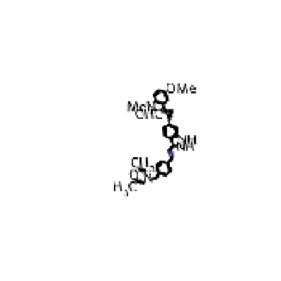 CNc1ccc(OC)cc1[C@@]1(C=O)C[C@H]1c1ccc2c(c1)NNC2/C=C/c1ccc(CN2C[C@@H](C)O[C@@H](C)C2)cc1